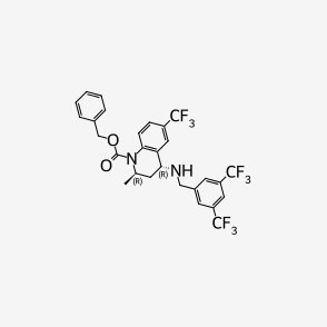 C[C@@H]1C[C@@H](NCc2cc(C(F)(F)F)cc(C(F)(F)F)c2)c2cc(C(F)(F)F)ccc2N1C(=O)OCc1ccccc1